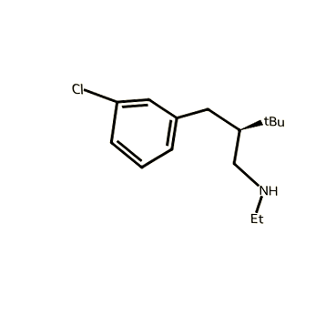 CCNC[C@@H](Cc1cccc(Cl)c1)C(C)(C)C